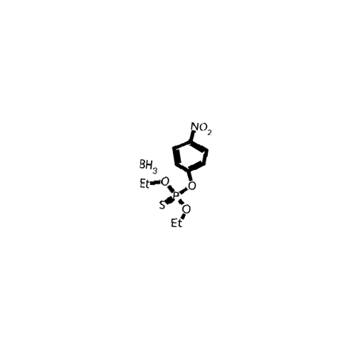 B.CCOP(=S)(OCC)Oc1ccc([N+](=O)[O-])cc1